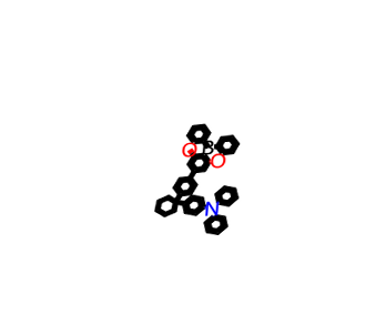 c1ccc(N(c2ccccc2)c2ccc(C3(c4ccc(-c5cc6c7c(c5)Oc5ccccc5B7c5ccccc5O6)cc4)CCCCC3)cc2)cc1